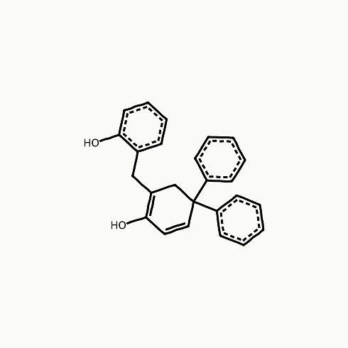 OC1=C(Cc2ccccc2O)CC(c2ccccc2)(c2ccccc2)C=C1